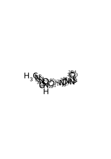 CN1CCN(S(=O)(=O)N[C@H]2CC[C@@H](CCN3CCN(c4nsc5ccccc45)CC3)CC2)CC1